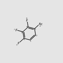 CC(=O)c1ccc(F)c(F)c1F